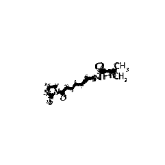 C=C(C)C(=O)NCCCCCC(=O)N1CCSC1=S